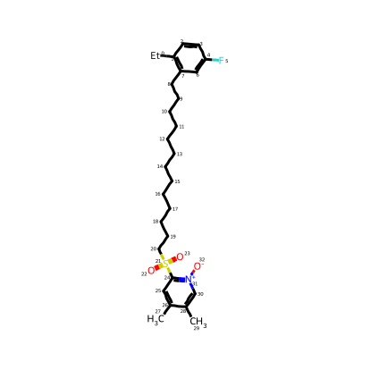 CCc1ccc(F)cc1CCCCCCCCCCCCCS(=O)(=O)c1cc(C)c(C)c[n+]1[O-]